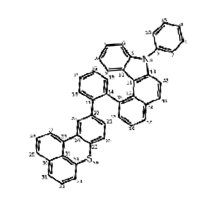 c1ccc(-n2c3ccccc3c3c4c(-c5ccccc5-c5ccc6c(c5)-c5cccc7cccc(c57)S6)cccc4ccc32)cc1